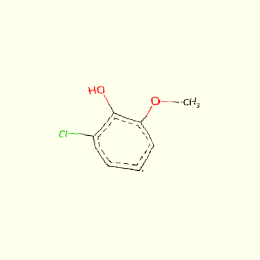 COc1c[c]cc(Cl)c1O